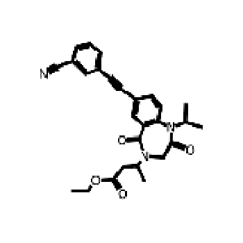 CCOC(=O)CC(C)N1CC(=O)N(C(C)C)c2ccc(C#Cc3cccc(C#N)c3)cc2C1=O